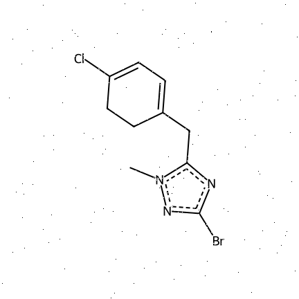 Cn1nc(Br)nc1CC1=CC=C(Cl)CC1